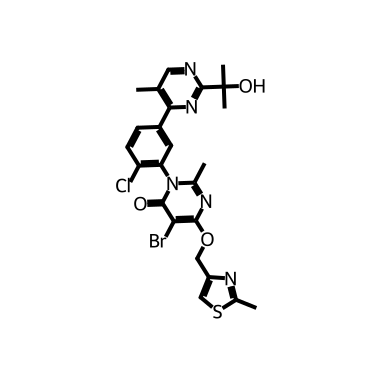 Cc1nc(COc2nc(C)n(-c3cc(-c4nc(C(C)(C)O)ncc4C)ccc3Cl)c(=O)c2Br)cs1